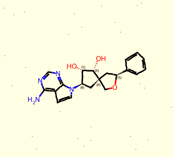 Nc1ncnc2c1ccn2[C@@H]1C[C@@]2(CO[C@H](c3ccccc3)C2)[C@@H](O)[C@H]1O